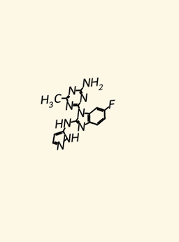 Cc1nc(N)nc(-n2c(Nc3ccn[nH]3)nc3ccc(F)cc32)n1